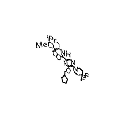 COC(=O)[C@H](CC(C)C)NC(=O)c1cnc(N2CCC(F)(F)CC2)c(OCC2CCCC2)n1